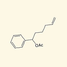 C=CCCCC(OC(C)=O)c1ccccc1